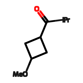 COC1CC(C(=O)C(C)C)C1